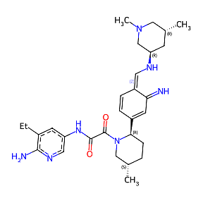 CCc1cc(NC(=O)C(=O)N2C[C@@H](C)CC[C@@H]2C2=CC(=N)/C(=C\N[C@@H]3C[C@@H](C)CN(C)C3)C=C2)cnc1N